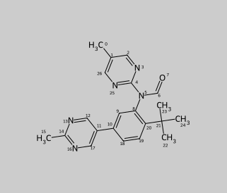 Cc1cnc(N(C=O)c2cc(-c3cnc(C)nc3)ccc2C(C)(C)C)nc1